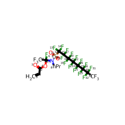 C=CC(=O)OC(F)(N(CCC)S(=O)(=O)C(F)(F)C(F)(F)C(F)(F)C(F)(F)C(F)(F)C(F)(F)C(F)(F)C(F)(F)F)C(F)(F)F